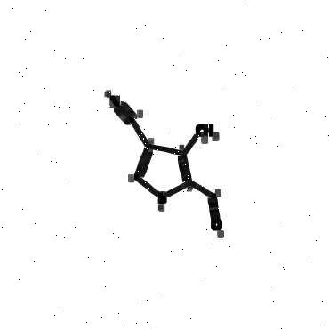 Cc1c(C#N)csc1C=O